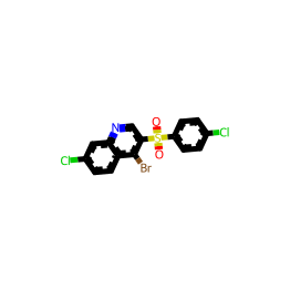 O=S(=O)(c1ccc(Cl)cc1)c1cnc2cc(Cl)ccc2c1Br